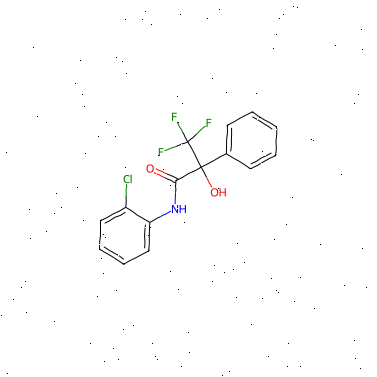 O=C(Nc1ccccc1Cl)C(O)(c1ccccc1)C(F)(F)F